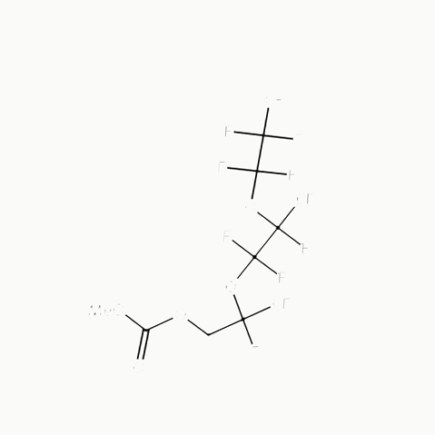 COC(=O)OCC(F)(OC(F)(F)C(F)(OC(F)(F)C(F)(F)C(F)(F)F)C(F)(F)F)C(F)(F)F